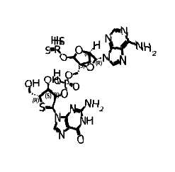 Nc1nc2c(ncn2C2S[C@H](CO)[C@@H](O)[C@H]2OP(=O)(O)OC[C@@]23C[C@@H](OC2O[PH](=S)S)[C@H](n2cnc4c(N)ncnc42)O3)c(=O)[nH]1